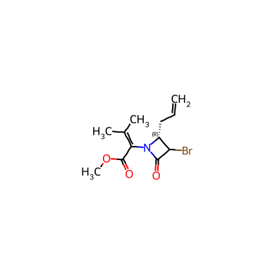 C=CC[C@@H]1C(Br)C(=O)N1C(C(=O)OC)=C(C)C